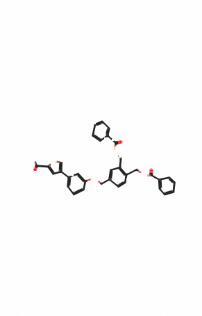 CCC(=O)c1cc(-c2cccc(OCc3ccc(COC(=O)c4ccccc4)c(COC(=O)c4ccccc4)c3)c2)cs1